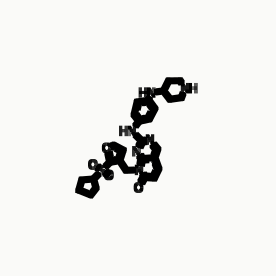 O=c1ccc2cnc(Nc3ccc(NC4CCNCC4)cc3)nc2n1Cc1ccoc1S(=O)(=O)C1CCCC1